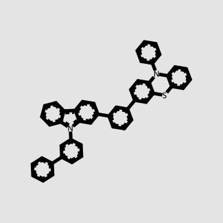 c1ccc(-c2cccc(-n3c4ccccc4c4ccc(-c5cccc(-c6ccc7c(c6)Sc6ccccc6N7c6ccccc6)c5)cc43)c2)cc1